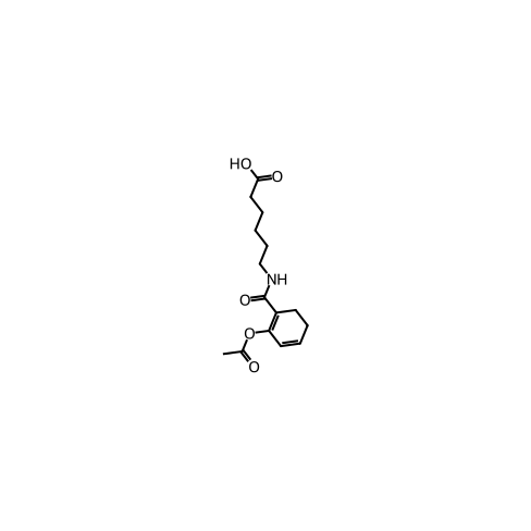 CC(=O)OC1=C(C(=O)NCCCCCC(=O)O)CCC=C1